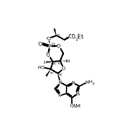 CCOC(=O)C[C@H](C)O[P@]1(=O)OC[C@H]2O[C@@H](n3cnc4c(OC)nc(N)nc43)[C@](C)(O)[C@@H]2O1